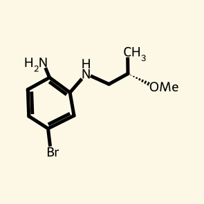 CO[C@@H](C)CNc1cc(Br)ccc1N